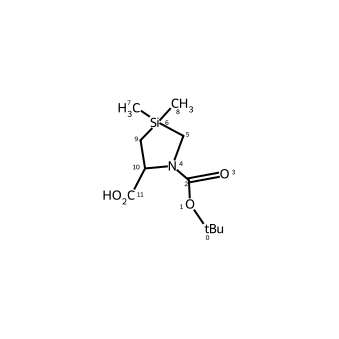 CC(C)(C)OC(=O)N1C[Si](C)(C)CC1C(=O)O